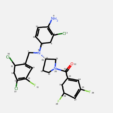 NC1=C(Cl)CC(N(CC2=CC(F)=C(Cl)CC2Cl)[C@H]2CCN(C(=O)C3=CC(F)=CC(F)C3)C2)C=C1